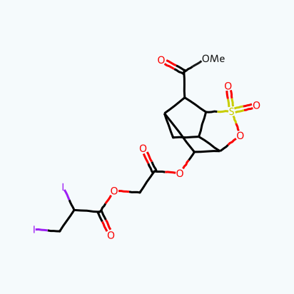 COC(=O)C1C2CC3C(OS(=O)(=O)C31)C2OC(=O)COC(=O)C(I)CI